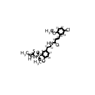 CNC(=S)NS(=O)(=O)c1cc(CCNC(=O)/C=C/c2cc(Cl)ccc2OC)ccc1OC